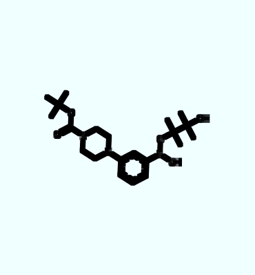 CC(C)(C)OC(=O)N1CCN(c2cccc(B(O)OC(C)(C)C(C)(C)O)c2)CC1